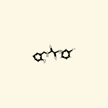 O=C(NCc1ccccc1Cl)C(=O)Nc1cccc(F)c1